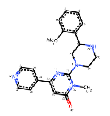 COc1ccccc1C1CN(c2nc(-c3ccncc3)cc(=O)n2C)CCN1